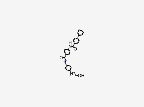 CN(CCO)c1ccc(/C=C/C(=O)c2ccc(NC(=O)c3ccc(-c4ccccc4)cc3)cc2)cc1